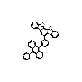 c1ccc(-c2c3ccccc3c(-c3cccc(-c4cc5c6ccccc6oc5c5oc6ccccc6c45)c3)c3ccccc23)cc1